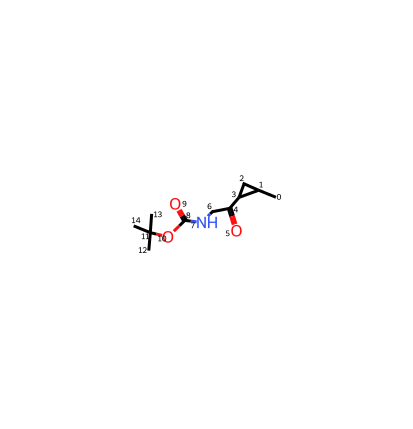 CC1CC1C(=O)CNC(=O)OC(C)(C)C